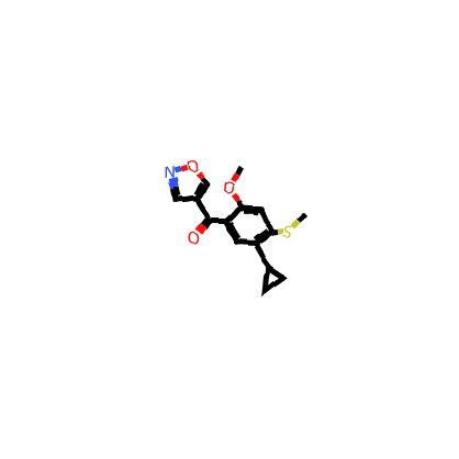 COc1cc(SC)c(C2CC2)cc1C(=O)c1cnoc1